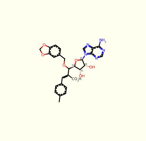 Cc1ccc(C=C(C(=O)O)C(OCc2ccc3c(c2)OCO3)[C@H]2O[C@@H](n3cnc4c(N)ncnc43)[C@H](O)[C@@H]2O)cc1